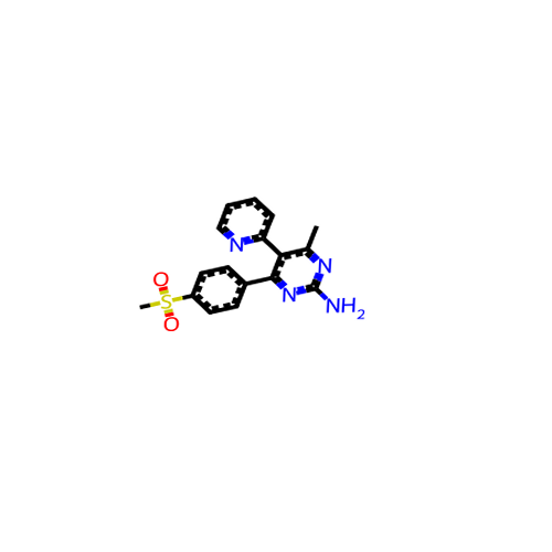 Cc1nc(N)nc(-c2ccc(S(C)(=O)=O)cc2)c1-c1ccccn1